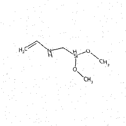 C=CNC[SiH](OC)OC